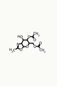 CC(=O)OCC1OC2OC(C)=NC2C(O)C1OC(C)=O